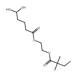 CCC(C)(C)C(=O)OCCOC(=O)CCCC(O)O